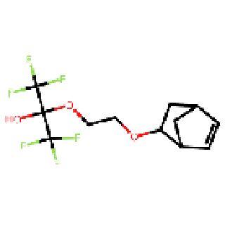 OC(OCCOC1CC2C=CC1C2)(C(F)(F)F)C(F)(F)F